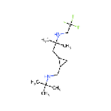 CC(C)(C)NCC1CC1CC(C)(C)NCC(F)(F)F